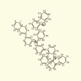 c1cc(-c2ccc3ccccc3c2)cc(N(c2ccc(-c3ccccc3-c3ccccc3-n3c4ccccc4c4ccccc43)cc2)c2cccc(-c3cccc4c3oc3ccccc34)c2)c1